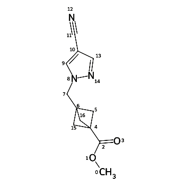 COC(=O)C12CC(Cn3cc(C#N)cn3)(C1)C2